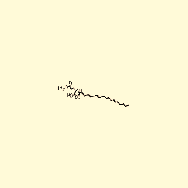 CCCCCC=CCC=CCCCCCCCC(=O)N[C@@H](CCC(N)=O)C(=O)O